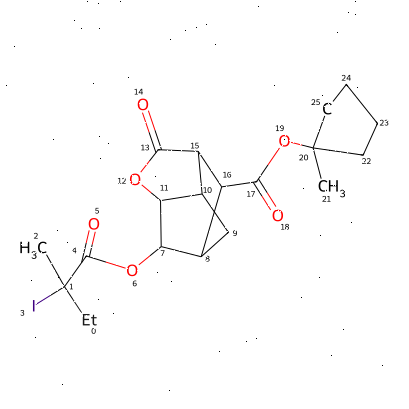 CCC(C)(I)C(=O)OC1C2CC3C1OC(=O)C3C2C(=O)OC1(C)CCCC1